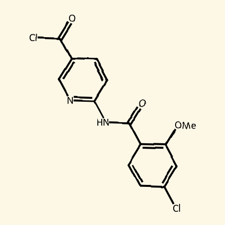 COc1cc(Cl)ccc1C(=O)Nc1ccc(C(=O)Cl)cn1